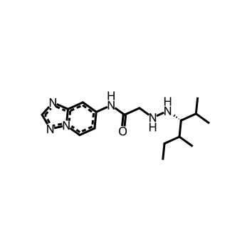 CCC(C)[C@H](NNCC(=O)Nc1ccn2ncnc2c1)C(C)C